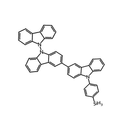 [SiH3]c1ccc(-n2c3ccccc3c3cc(-c4ccc5c(c4)c4ccccc4n5-n4c5ccccc5c5ccccc54)ccc32)cc1